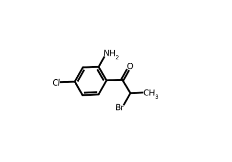 CC(Br)C(=O)c1ccc(Cl)cc1N